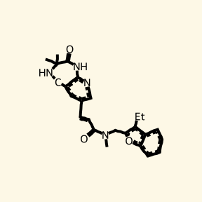 CCc1c(CN(C)C(=O)/C=C/c2cnc3c(c2)CNC(C)(C)C(=O)N3)oc2ccccc12